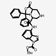 CC(C)(C)OC(=O)n1cnc2c(NC(=O)C3CNCC4C(=O)OC(c5ccccc5)(c5ccccc5)N34)cccc21